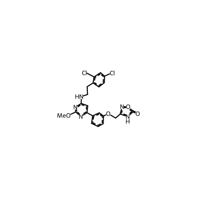 COc1nc(NCCc2ccc(Cl)cc2Cl)cc(-c2cccc(OCc3noc(=O)[nH]3)c2)n1